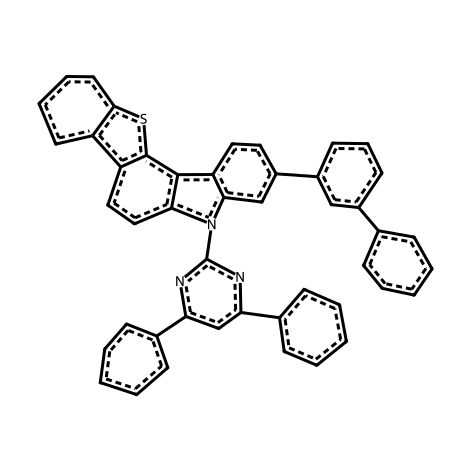 c1ccc(-c2cccc(-c3ccc4c5c6sc7ccccc7c6ccc5n(-c5nc(-c6ccccc6)cc(-c6ccccc6)n5)c4c3)c2)cc1